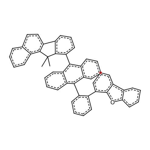 CC1(C)c2c(cccc2-c2c3ccccc3c(-c3ccccc3-c3cccc4c3oc3ccccc34)c3ccccc23)-c2ccc3ccccc3c21